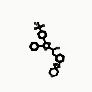 COC1(Sc2cccc(CC(O)c3nc(-c4ccccc4)c(-c4ccc(S(N)(=O)=O)cc4)o3)c2)CCOCC1